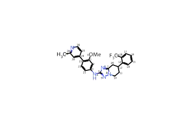 COc1cc(Nc2nc3n(n2)CCC(c2ccccc2C(F)(F)F)C3)ccc1-c1ccnc(C)c1